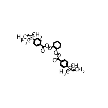 C=C[Si](C)(C)c1ccc(C(=O)OOC2=C(OOC(=O)c3ccc([Si](C)(C)C=C)cc3)CCCC2)cc1